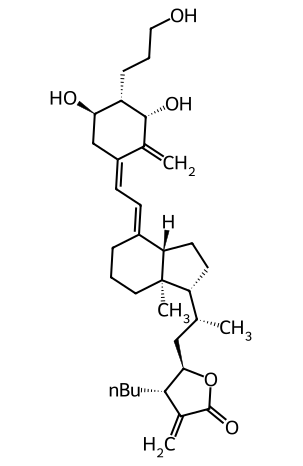 C=C1/C(=C\C=C2/CCC[C@]3(C)[C@@H]([C@H](C)C[C@H]4OC(=O)C(=C)[C@@H]4CCCC)CC[C@@H]23)C[C@@H](O)[C@H](CCCO)[C@@H]1O